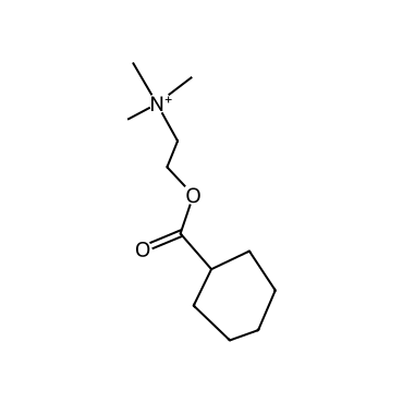 C[N+](C)(C)CCOC(=O)C1CCCCC1